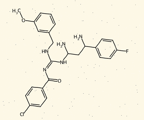 COc1cccc(CN/C(=N/C(=O)c2ccc(Cl)cc2)NC(N)CC(N)c2ccc(F)cc2)c1